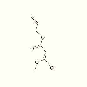 C=CCOC(=O)C=C(O)OC